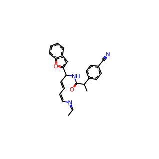 C\C=N/C=C\C=C\C(NC(=O)C(C)c1ccc(C#N)cc1)c1cc2ccccc2o1